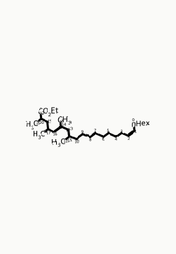 CCCCCC/C=C\CCCCCCCCC(C)CC(C)CC(C)CC(C)C(=O)OCC